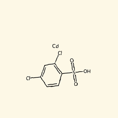 O=S(=O)(O)c1ccc(Cl)cc1Cl.[Cd]